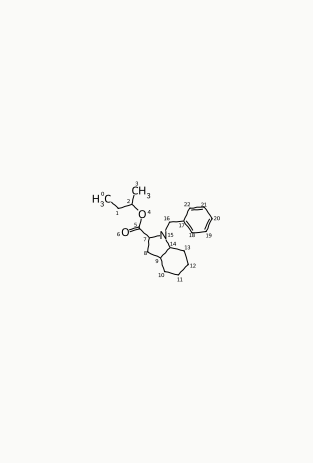 CCC(C)OC(=O)C1CC2CCCCC2N1Cc1ccccc1